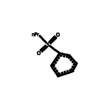 CCCS(=O)(=O)c1cc[c]cc1